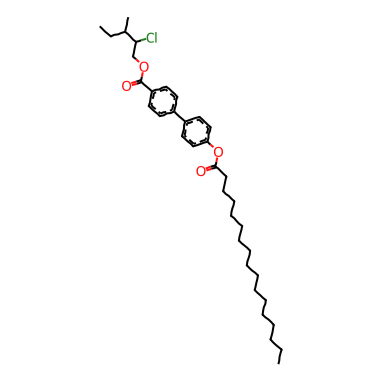 CCCCCCCCCCCCCCCCC(=O)Oc1ccc(-c2ccc(C(=O)OCC(Cl)C(C)CC)cc2)cc1